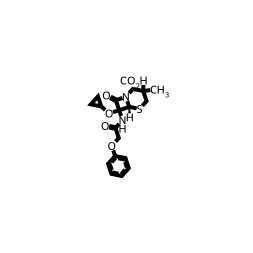 CC1(C(=O)O)CS[C@H]2N(C1)C(=O)C2(NC(=O)COc1ccccc1)OC1CC1